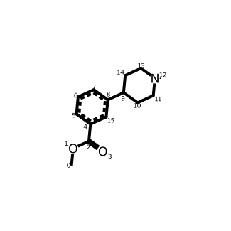 COC(=O)c1cccc(C2CC[N]CC2)c1